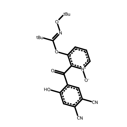 CC(C)(C)ON=C(Oc1ccc[n+]([O-])c1C(=O)c1cc(C#N)c(C#N)cc1O)C(C)(C)C